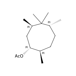 CC(=O)O[C@@H]1C[C@@H](C)C(C)(C)[C@H](C)CC[C@H]1C